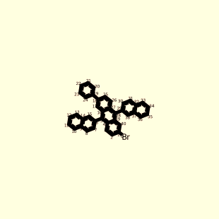 Brc1ccc2c(-c3ccc4ccccc4c3)c3cc(-c4ccccc4)ccc3c(-c3ccc4ccccc4c3)c2c1